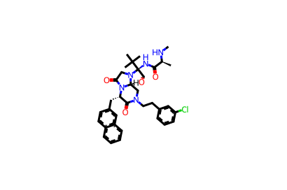 CN[C@@H](C)C(=O)N[C@@](C=O)(N1CC(=O)N2[C@@H](Cc3ccc4ccccc4c3)C(=O)N(CCc3cccc(Cl)c3)C[C@@H]21)C(C)(C)C